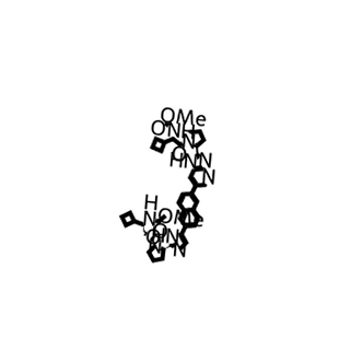 COC(=O)N[C@H](C(=O)N1CCC[C@H]1c1nc2ncc(-c3ccc4cc(-c5cnc([C@@H]6CCCN6OC[C@@H](NC(=O)OC)C6CCC6)[nH]5)ccc4c3)cc2[nH]1)C1CCC1